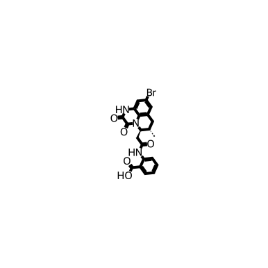 C[C@H]1Cc2cc(Br)cc3[nH]c(=O)c(=O)n(c23)[C@@H]1CC(=O)Nc1ccccc1C(=O)O